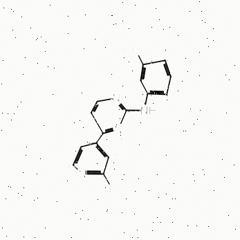 FC(F)(F)c1cccc(Nc2nccc(-c3ccnc(Cl)c3)n2)c1